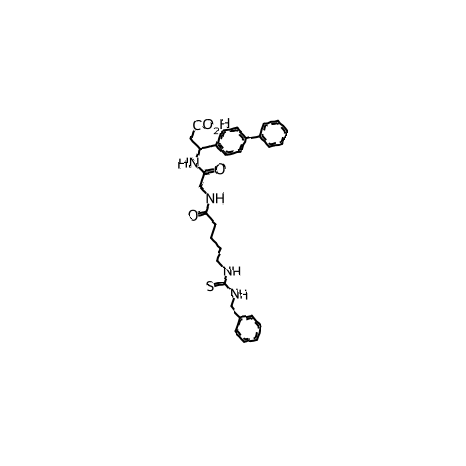 O=C(O)CC(NC(=O)CNC(=O)CCCCNC(=S)NCc1ccccc1)c1ccc(-c2ccccc2)cc1